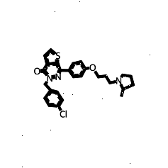 CC1CCCN1CCCOc1ccc(-c2nn(Cc3ccc(Cl)cc3)c(=O)c3ccsc23)cc1